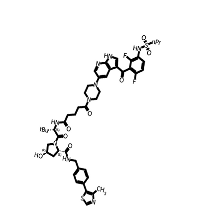 CCCS(=O)(=O)Nc1ccc(F)c(C(=O)c2c[nH]c3ncc(N4CCN(C(=O)CCCC(=O)N[C@H](C(=O)N5C[C@H](O)C[C@H]5C(=O)NCc5ccc(-c6scnc6C)cc5)C(C)(C)C)CC4)cc23)c1F